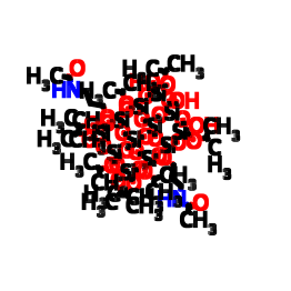 CC(=O)NCCCO[Si]12O[Si](O)(OC(C)C)O[Si]3(O)O[Si](O)(OC(C)C)O[Si]4(OC(C)C)O[Si]5(OCCCNC(C)=O)O[Si](OC(C)C)(OC(C)C)O[Si]6(OC(C)C)O[Si](OC(C)C)(OC(C)C)O[Si](OC(C)C)(O1)O[Si](O5)(O6)O[Si](O3)(O2)O4